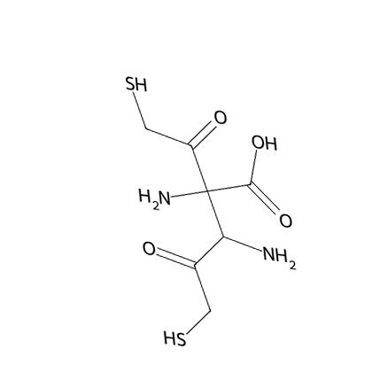 NC(C(=O)CS)C(N)(C(=O)O)C(=O)CS